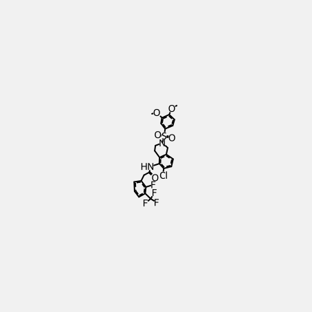 COc1ccc(S(=O)(=O)N2CCc3c(ccc(Cl)c3NC(=O)Cc3cccc(C(F)(F)F)c3F)C2)cc1OC